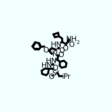 CC(C)CC[S+]([O-])CC1(NC(=O)N[C@H](C(=O)N2C[C@H](OCc3ccccc3)C[C@H]2C(=O)NC(CC2CCC2)C(=O)C(N)=O)C2CCCCC2)CCCCC1